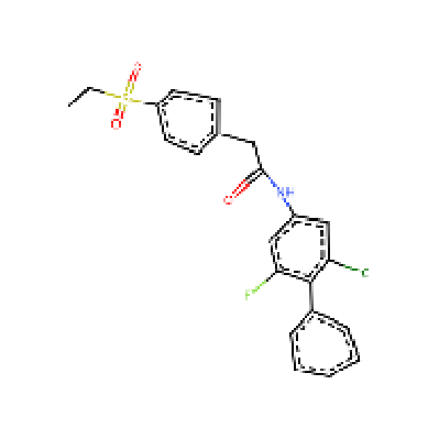 CCS(=O)(=O)c1ccc(CC(=O)Nc2cc(F)c(-c3ccccc3)c(Cl)c2)cc1